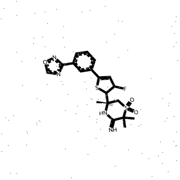 CC1(C)C(=N)N[C@](C)(C2SC(c3cccc(-c4ncon4)c3)=CC2F)CS1(=O)=O